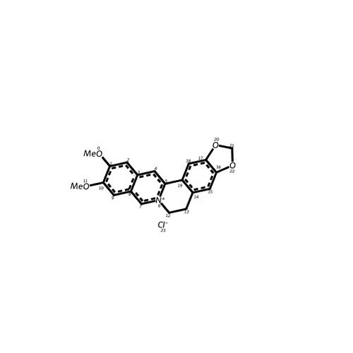 COc1cc2cc3[n+](cc2cc1OC)CCc1cc2c(cc1-3)OCO2.[Cl-]